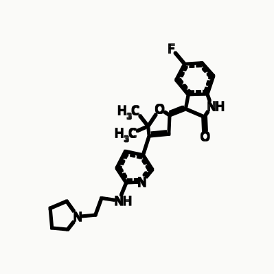 CC1(C)O/C(=C2/C(=O)Nc3ccc(F)cc32)C=C1c1ccc(NCCN2CCCC2)nc1